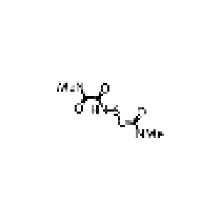 CNC(=O)OSNC(=O)C(=O)NC